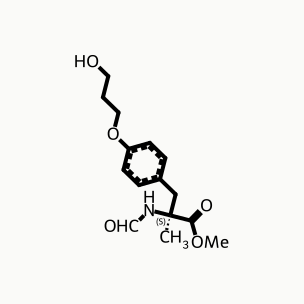 COC(=O)[C@](C)(Cc1ccc(OCCCO)cc1)NC=O